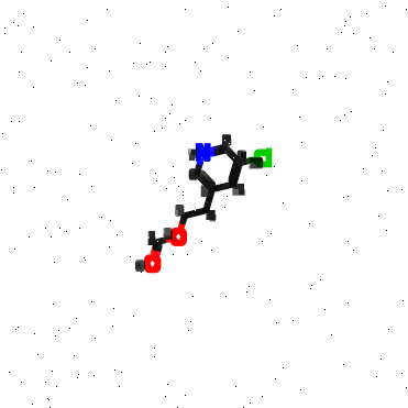 O=[C]OCCc1cncc(Cl)c1